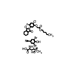 CCCCCOC(=O)COc1cc(N2C(=O)C3=C(CCCC3)C2=O)c(F)cc1Cl.CP(=O)(O)CCC(N)C(=O)O.N#Cc1cc(Br)c(O)c(Br)c1